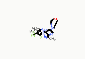 Cc1c([C@@H](C)Nc2nnc(C)c3ncc(N4CCOCC4)cc23)cc(F)cc1C(F)(F)F